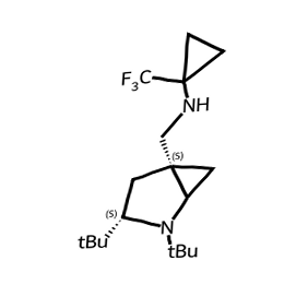 CC(C)(C)[C@@H]1C[C@@]2(CNC3(C(F)(F)F)CC3)CC2N1C(C)(C)C